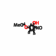 COCOc1cc(O)c(N=O)c(C)c1C